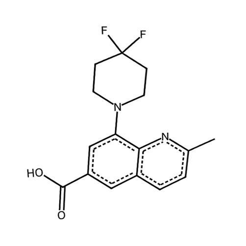 Cc1ccc2cc(C(=O)O)cc(N3CCC(F)(F)CC3)c2n1